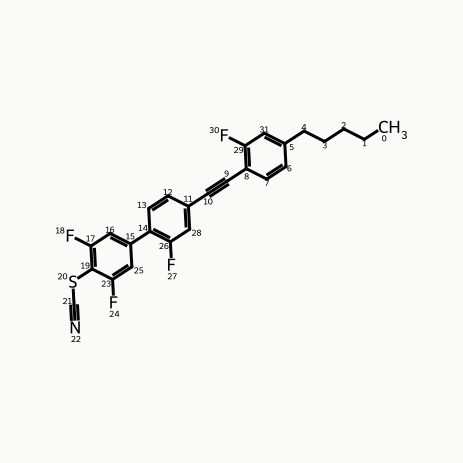 CCCCCc1ccc(C#Cc2ccc(-c3cc(F)c(SC#N)c(F)c3)c(F)c2)c(F)c1